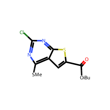 CSc1nc(Cl)nc2sc(C(=O)OCC(C)C)cc12